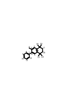 Cc1cc2c(cc1-c1ccccc1)C(C)(C)CCC2(C)C